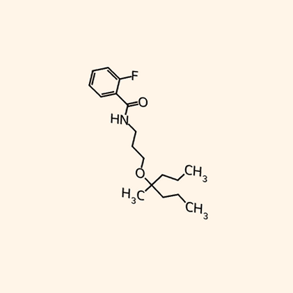 CCCC(C)(CCC)OCCCNC(=O)c1ccccc1F